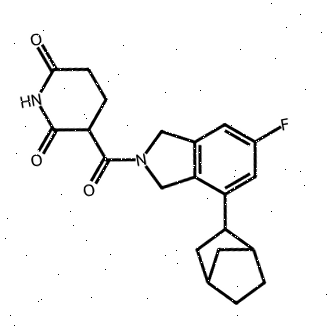 O=C1CCC(C(=O)N2Cc3cc(F)cc(C4CC5CCC4C5)c3C2)C(=O)N1